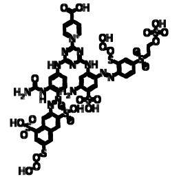 NC(=O)Nc1cc(Nc2nc(Nc3cc(N)c(S(=O)(=O)O)cc3N=Nc3ccc(S(=O)(=O)CCOS(=O)(=O)O)cc3SOOO)nc(-[n+]3ccc(C(=O)O)cc3)n2)ccc1N=Nc1cc2c(S(=O)(=O)O)cc(SOOO)cc2cc1S(=O)(=O)O